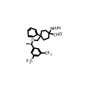 CC(=O)NC1(C=O)CCC(CO[C@H](C)c2cc(C(F)(F)F)cc(C(F)(F)F)c2)(c2ccccc2)CC1